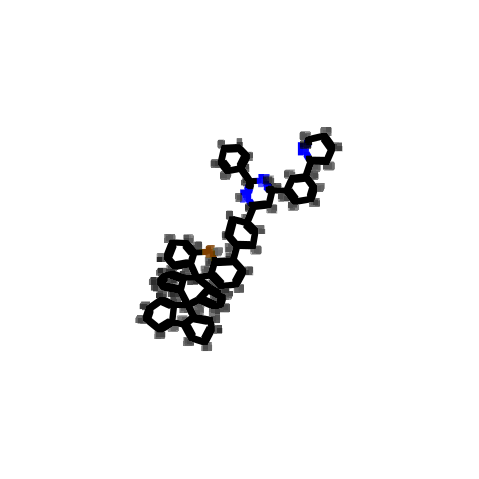 c1ccc(-c2nc(-c3ccc(-c4cccc5c4Sc4ccccc4C54c5ccccc5C5(c6ccccc6-c6ccccc65)c5ccccc54)cc3)cc(-c3cccc(-c4ccccn4)c3)n2)cc1